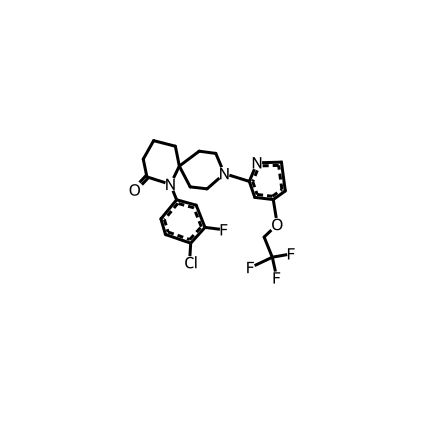 O=C1CCCC2(CCN(c3cc(OCC(F)(F)F)ccn3)CC2)N1c1ccc(Cl)c(F)c1